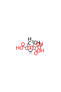 C=CC1OC(/C=C\C2OC(C=C)C(C(=O)O)C2C(=O)O)CC1C(=O)O